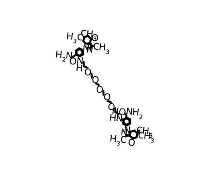 Cc1nn(-c2ccc(C(N)=O)c(NCCCOCCOCCOCCOCCOCCCNc3cc(-n4nc(C)c5c4CC(C)(C)CC5=O)ccc3C(N)O)c2)c2c1C(=O)CC(C)(C)C2